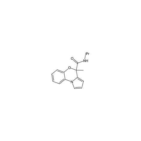 CC(C)NC(=O)C1(C)Oc2ccccc2-n2cccc21